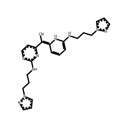 N#C/C(=C1/C=CC=C(NCCCn2cccn2)N1)c1ccnc(NCCCn2cccn2)n1